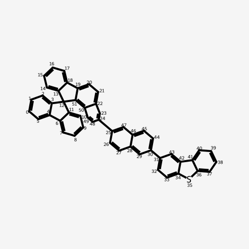 c1ccc2c(c1)-c1ccccc1C21c2ccccc2-c2ccc3cc(-c4ccc5cc(-c6ccc7sc8ccccc8c7c6)ccc5c4)ccc3c21